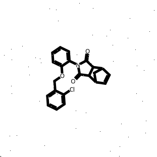 O=C1C2C3C=CC(C3)C2C(=O)N1c1ccccc1OCc1ccccc1Cl